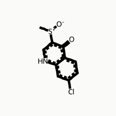 C[S+]([O-])c1c[nH]c2cc(Cl)ccc2c1=O